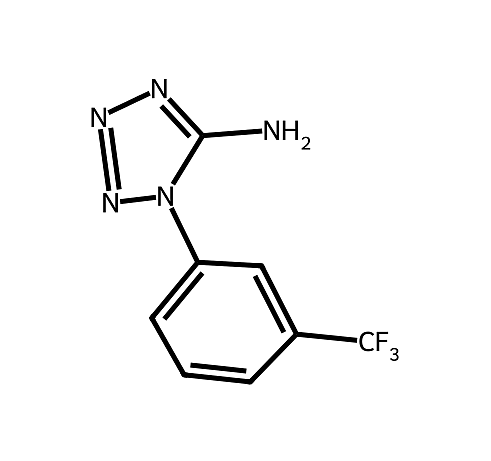 Nc1nnnn1-c1cccc(C(F)(F)F)c1